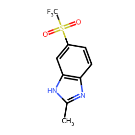 Cc1nc2ccc(S(=O)(=O)C(F)(F)F)cc2[nH]1